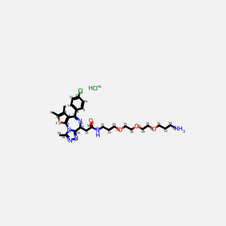 Cc1sc2c(c1C)C(c1ccc(Cl)cc1)=NC(CC(=O)NCCCOCCOCCOCCCN)c1nnc(C)n1-2.Cl